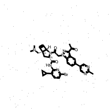 CC(=O)c1nn(CC(=O)N2[C@H](C(=O)Nc3nc(Br)ccc3C3CC3)C[C@@]3(CN(C)C)C#C[C@@H]23)c2ccc(-c3cnc(C)nc3)cc12